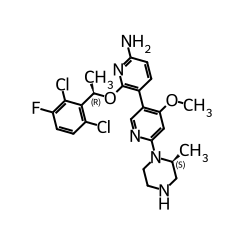 COc1cc(N2CCNC[C@@H]2C)ncc1-c1ccc(N)nc1O[C@H](C)c1c(Cl)ccc(F)c1Cl